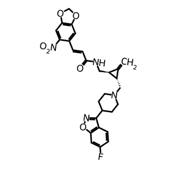 C=C1[C@H](CNC(=O)/C=C/c2cc3c(cc2[N+](=O)[O-])OCO3)[C@H]1CN1CCC(c2noc3cc(F)ccc23)CC1